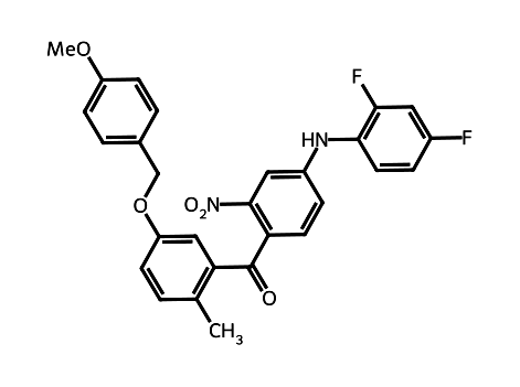 COc1ccc(COc2ccc(C)c(C(=O)c3ccc(Nc4ccc(F)cc4F)cc3[N+](=O)[O-])c2)cc1